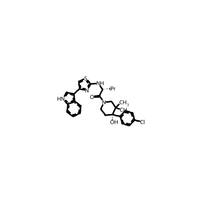 CC(C)[C@@H](Nc1nc(-c2c[nH]c3ccccc23)cs1)C(=O)N1CC[C@](O)(c2ccc(Cl)cc2)C(C)(C)C1